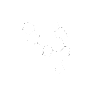 Cc1ccc(-c2ncn(C3CCCC3)c2-c2ccc(C(=O)Nc3ccncc3F)o2)cc1